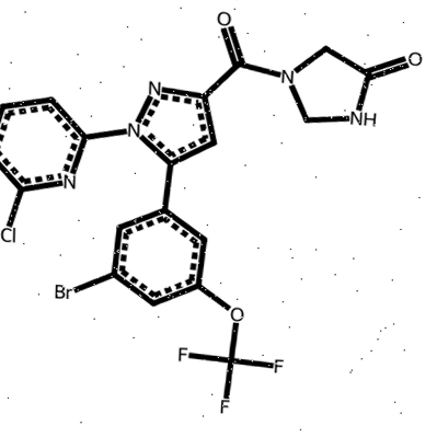 O=C1CN(C(=O)c2cc(-c3cc(Br)cc(OC(F)(F)F)c3)n(-c3cccc(Cl)n3)n2)CN1